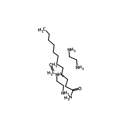 C=C.NCCN.NCCN.[CH2]CCCCCCCCCCC(N)=O